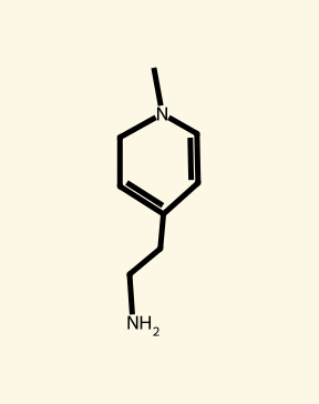 CN1C=CC(CCN)=CC1